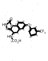 O=C(O)NC1Cc2cc(Oc3cccc(C(F)(F)F)c3)ccc2-n2c1n[nH]c2=O